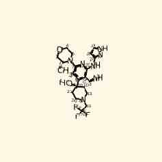 C[C@@H]1COCCN1c1cc(C2(O)CCN(CC(F)(F)F)CC2)c(C=N)c(Nc2cc[nH]n2)n1